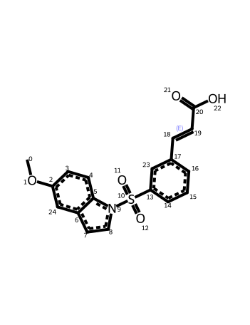 COc1ccc2c(ccn2S(=O)(=O)c2cccc(/C=C/C(=O)O)c2)c1